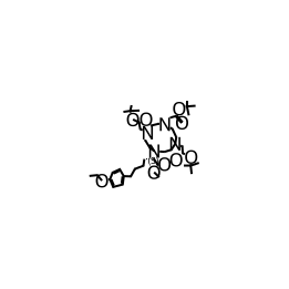 CCOc1ccc(CCCC[C@@H](C(=O)OC)N2CCN(CC(=O)OC(C)(C)C)CCN(CC(=O)OC(C)(C)C)CCN(CC(=O)OC(C)(C)C)CC2)cc1